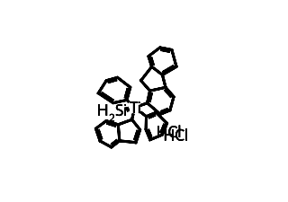 Cl.Cl.[SiH2]=[Ti]([c]1ccccc1)([c]1ccccc1)([c]1cccc2c1Cc1ccccc1-2)[CH]1C=Cc2ccccc21